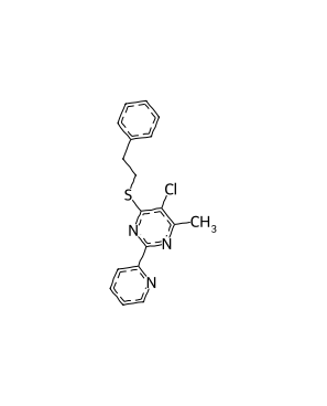 Cc1nc(-c2ccccn2)nc(SCCc2ccccc2)c1Cl